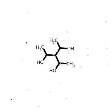 CC(O)C(C(C)O)C(C)O